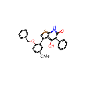 COc1ccc(OCc2ccccc2)c(-c2csc3[nH]c(=O)c(-c4ccccc4)c(O)c23)c1